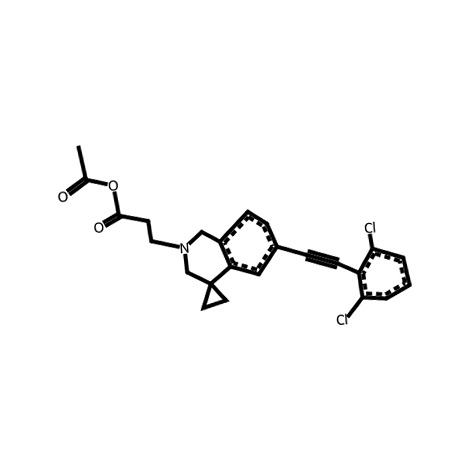 CC(=O)OC(=O)CCN1Cc2ccc(C#Cc3c(Cl)cccc3Cl)cc2C2(CC2)C1